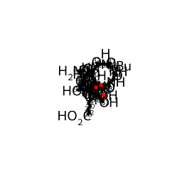 CC[C@H](C)[C@@H]1NC(=O)CNC(=O)[C@H]2Cc3c([nH]c4cc(OCCCCCC(=O)O)ccc34)[S@+]([O-])CC(NC(=O)CNC1=O)C(=O)N[C@@H](CC(N)=O)C(=O)N1CC(O)C[C@H]1C(=O)N[C@@H]([C@@H](C)[C@@H](O)CO)C(=O)N2